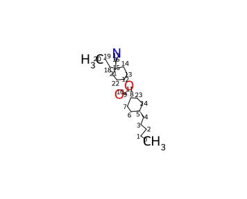 CCCCC[C@H]1CC[C@H](C(=O)O[C@H]2CC[C@@](C#N)(CCC)CC2)CC1